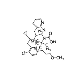 COCCCc1ccc(Cl)c(CN(C(=O)C(Cc2cccnc2N)CN(C(=O)O)C(C)(C)C)C2CC2)c1